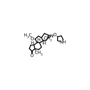 CO[C@@H]1CC2CC3C(C[C@]2(C)[C@H]2CC[C@]4(C)C(=O)CC[C@H]4[C@H]12)N3O[C@@H]1CCNC1